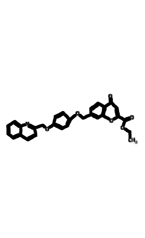 CCOC(=O)c1cc(=O)c2ccc(COc3ccc(OCc4ccc5ccccc5n4)cc3)cc2o1